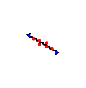 CN(C)CCOCCOC(=O)/C=C/C(=O)OCCOCCN(C)C